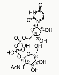 CC(=O)N[C@H]1[C@H](OP(=O)(O)OP(=O)(O)OC[C@H]2O[C@@H](n3ccc(=O)[nH]c3=O)[C@H](O)[C@@H]2O)O[C@H](CO)[C@@H](O)[C@@H]1O